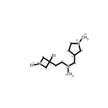 CCN1CC(CC)(CCN(C)CC2CCN(C)C2)C1